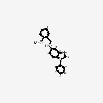 COc1ccccc1CNc1ccc2c(c1)ncn2-c1ccccc1